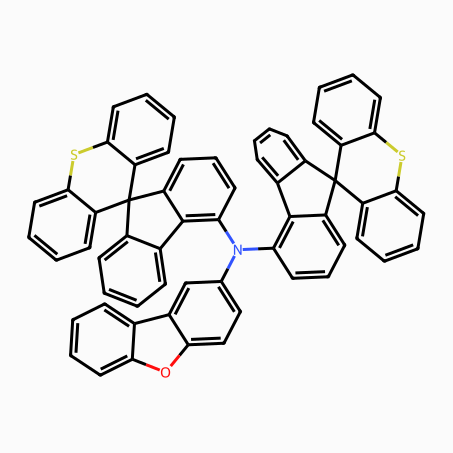 c1ccc2c(c1)Sc1ccccc1C21c2ccccc2-c2c(N(c3ccc4oc5ccccc5c4c3)c3cccc4c3-c3ccccc3C43c4ccccc4Sc4ccccc43)cccc21